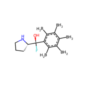 Bc1c(B)c(B)c([C@](O)(F)[C@@H]2CCCN2)c(B)c1B